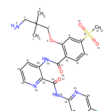 CC(C)(CN)COc1cc(S(C)(=O)=O)ccc1C(=O)Nc1cccnc1C(=O)Nc1ccc(Cl)cn1